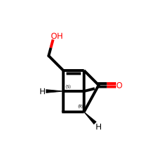 CC12C3=C(CO)[C@H]1C[C@H]2C3=O